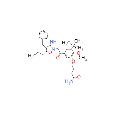 CCCc1on(CC(=O)c2cc(OCCCC(N)=O)c(OC)c(C(C)(C)C)c2)c(=N)c1Cc1ccccc1